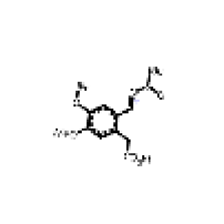 CCOC(=O)Cc1cc(OC)c(OC(C)C)cc1/C=N/[S+]([O-])C(C)(C)C